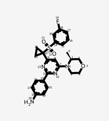 C[C@H]1COCCN1c1cc(C2(S(=O)(=O)c3cccc(F)c3)CC2)nc(-c2ccc(N)cc2)n1